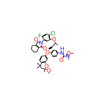 C#CC(C)Oc1cc(N2C(=O)C3=C(CCCC3)C2=O)c(F)cc1Cl.CON(C)C(=O)Nc1ccc(Oc2ccc3c(c2)OC(C)(OC)CC3(C)C)cc1